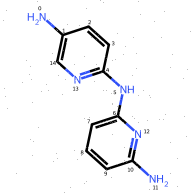 Nc1ccc(Nc2cccc(N)n2)nc1